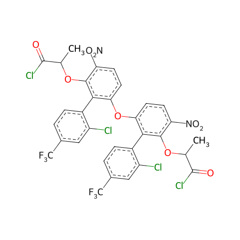 CC(Oc1c([N+](=O)[O-])ccc(Oc2ccc([N+](=O)[O-])c(OC(C)C(=O)Cl)c2-c2ccc(C(F)(F)F)cc2Cl)c1-c1ccc(C(F)(F)F)cc1Cl)C(=O)Cl